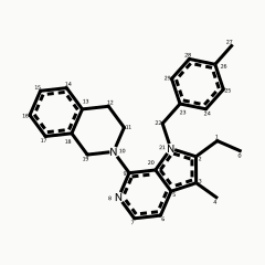 CCc1c(C)c2ccnc(N3CCc4ccccc4C3)c2n1Cc1ccc(C)cc1